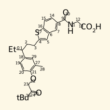 CCC(CCc1cc2cc(C(=O)NCC(=O)O)ccc2s1)c1ccc(OCC(=O)C(C)(C)C)c(C)c1